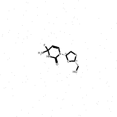 NC1(F)C=CN([C@@H]2CS[C@H](CO)O2)C(=O)N1